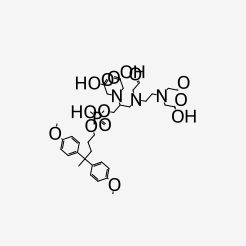 COc1ccc(C(C)(CCCOP(=O)(O)OCC(CN(CC=O)CCN(CC=O)CC(=O)O)N(CC(=O)O)CC(=O)O)c2ccc(OC)cc2)cc1